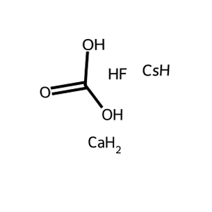 F.O=C(O)O.[CaH2].[CsH]